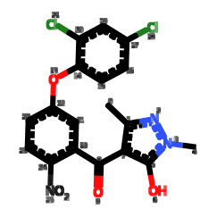 Cc1nn(C)c(O)c1C(=O)c1cc(Oc2ccc(Cl)cc2Cl)ccc1[N+](=O)[O-]